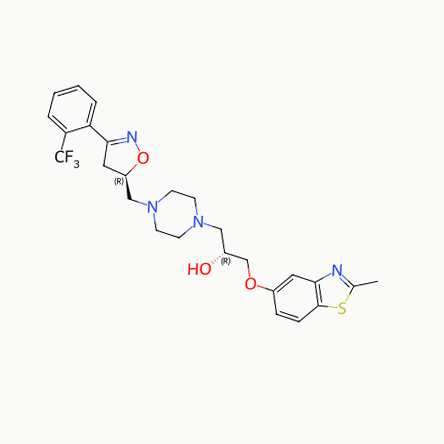 Cc1nc2cc(OC[C@H](O)CN3CCN(C[C@H]4CC(c5ccccc5C(F)(F)F)=NO4)CC3)ccc2s1